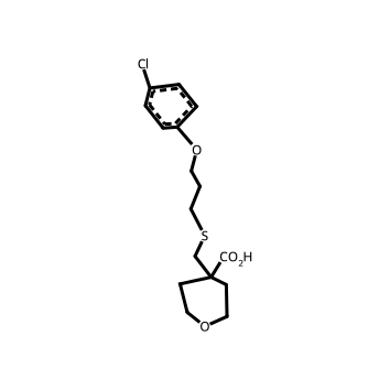 O=C(O)C1(CSCCCOc2ccc(Cl)cc2)CCOCC1